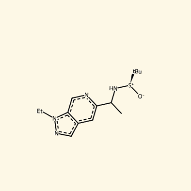 CCn1ncc2cc(C(C)N[S@+]([O-])C(C)(C)C)ncc21